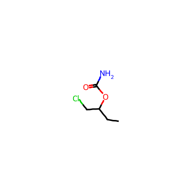 CCC(CCl)OC(N)=O